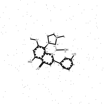 COc1cc(O)c2c(=O)cc(-c3cccc(Cl)c3)oc2c1[C@H]1CCN(C)[C@@H]1CO